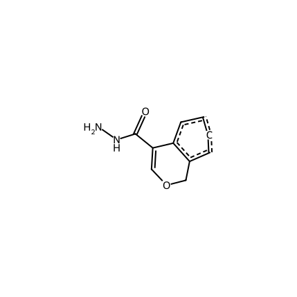 NNC(=O)C1=COCc2ccccc21